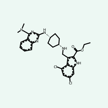 CCOC(=O)c1[nH]c2cc(Cl)cc(Cl)c2c1CN[C@H]1CC[C@@H](Nc2nc(N(C)C)c3ccccc3n2)CC1